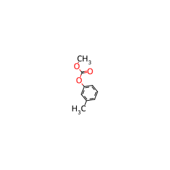 COC(=O)Oc1cccc(C)c1